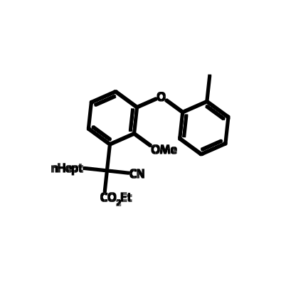 CCCCCCCC(C#N)(C(=O)OCC)c1cccc(Oc2ccccc2C)c1OC